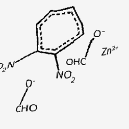 O=C[O-].O=C[O-].O=[N+]([O-])c1ccccc1[N+](=O)[O-].[Zn+2]